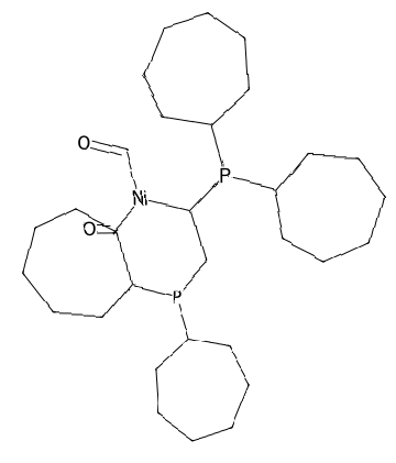 O=[CH][Ni]([CH]=O)[CH](CP(C1CCCCCC1)C1CCCCCC1)P(C1CCCCCC1)C1CCCCCC1